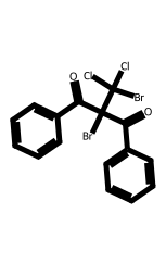 O=C(c1ccccc1)C(Br)(C(=O)c1ccccc1)C(Cl)(Cl)Br